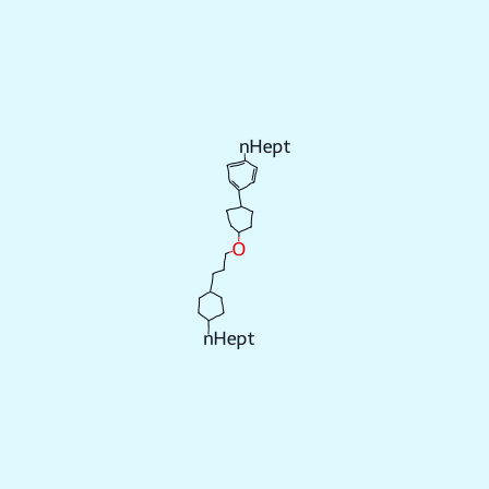 CCCCCCCc1ccc(C2CCC(OCCCC3CCC(CCCCCCC)CC3)CC2)cc1